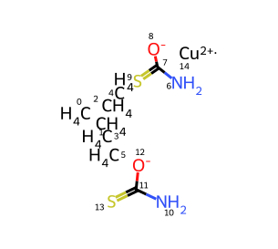 C.C.C.C.C.C.NC([O-])=S.NC([O-])=S.[Cu+2]